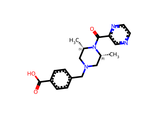 C[C@@H]1CN(Cc2ccc(C(=O)O)cc2)C[C@H](C)N1C(=O)c1cnccn1